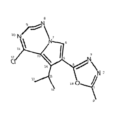 Cc1nnc(-c2cn3ncnc(Cl)c3c2C(C)C)o1